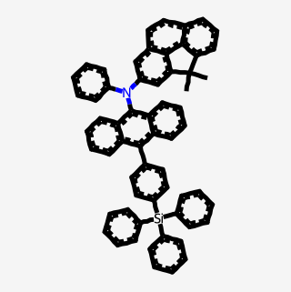 CC1(C)c2cccc3ccc4cc(N(c5ccccc5)c5c6ccccc6c(-c6ccc([Si](c7ccccc7)(c7ccccc7)c7ccccc7)cc6)c6ccccc56)cc1c4c23